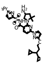 CCCn1ccc(S(=O)(=O)NC(=O)c2ccc(-n3ccc(OCCC(C4CC4)C4CC4)n3)nc2N2CC(N)CC2(C)C)n1